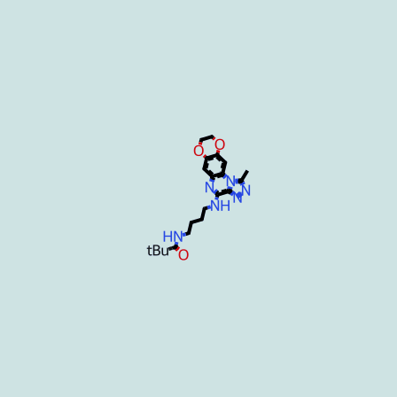 Cc1nnc2c(NCCCCNC(=O)C(C)(C)C)nc3cc4c(cc3n12)OCCO4